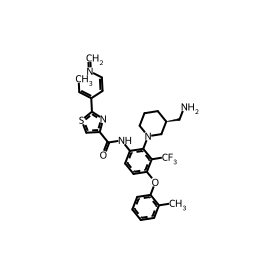 C=N/C=C\C(=C/C)c1nc(C(=O)Nc2ccc(Oc3ccccc3C)c(C(F)(F)F)c2N2CCC[C@@H](CN)C2)cs1